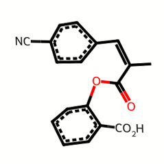 CC(=Cc1ccc(C#N)cc1)C(=O)Oc1ccccc1C(=O)O